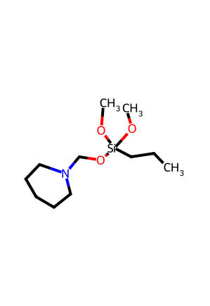 CCC[Si](OC)(OC)OCN1CCCCC1